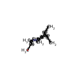 C=CCCCCOC(=O)c1cc(C)cc(/C(C)=C/C=C(\C=C)c2ccc(-c3ccc(-c4cc(C(=O)OCCCCC=C)cc(C(=O)OCCCCC=C)c4)cc3)cc2)c1